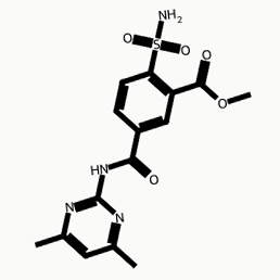 COC(=O)c1cc(C(=O)Nc2nc(C)cc(C)n2)ccc1S(N)(=O)=O